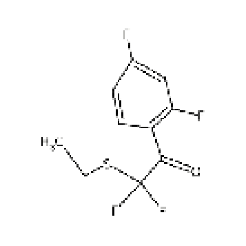 CCSC(F)(F)C(=O)c1ccc(F)cc1F